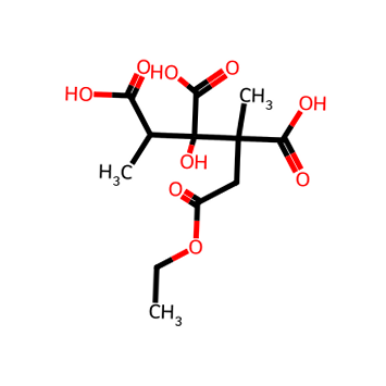 CCOC(=O)CC(C)(C(=O)O)C(O)(C(=O)O)C(C)C(=O)O